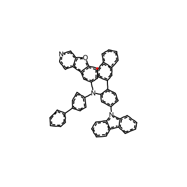 c1ccc(-c2ccc(N(c3ccc4oc5cnccc5c4c3)c3cc(-n4c5ccccc5c5ccccc54)ccc3-c3ccc4ccccc4c3)cc2)cc1